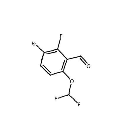 O=Cc1c(OC(F)F)ccc(Br)c1F